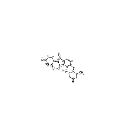 CC1CNCC(C)N1Cc1ccc2c(c1)C(=O)N(C1CCC(=O)NC1=O)C2=O